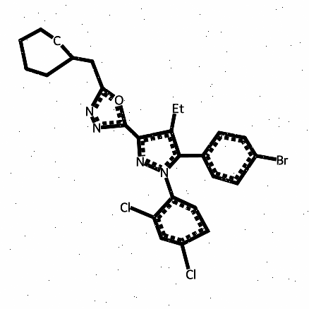 CCc1c(-c2nnc(CC3CCCCC3)o2)nn(-c2ccc(Cl)cc2Cl)c1-c1ccc(Br)cc1